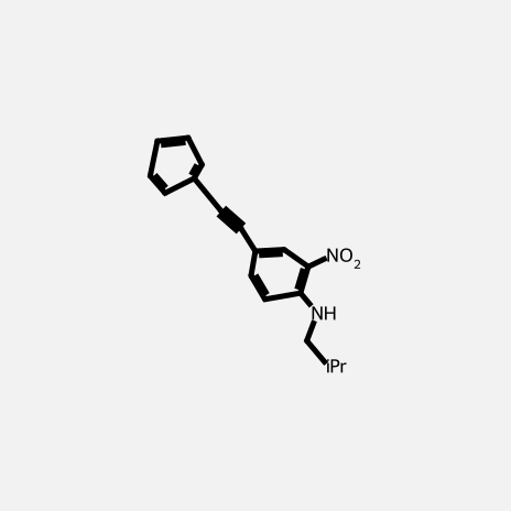 CC(C)CNc1ccc(C#Cc2ccccc2)cc1[N+](=O)[O-]